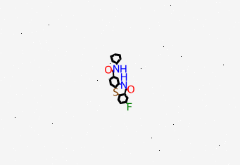 O=C(Nc1ccccc1)c1ccc2c(c1)NC(=O)c1cc(F)ccc1S2